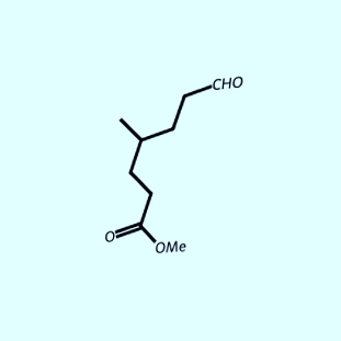 COC(=O)CCC(C)CCC=O